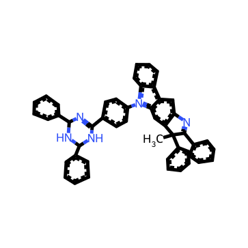 CC1(c2ccccc2)C(c2ccccc2)=Nc2cc3c4ccccc4n(-c4ccc(C5=NC(c6ccccc6)NC(c6ccccc6)N5)cc4)c3cc21